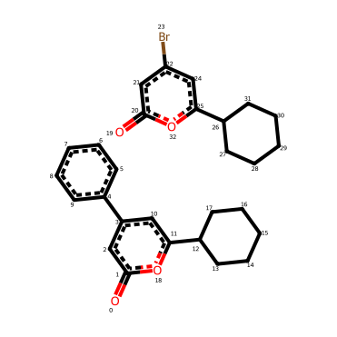 O=c1cc(-c2ccccc2)cc(C2CCCCC2)o1.O=c1cc(Br)cc(C2CCCCC2)o1